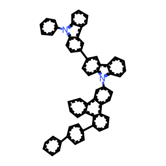 c1ccc(-c2ccc(-c3cccc4c5ccc(-n6c7ccccc7c7cc(-c8ccc9c(c8)c8ccccc8n9-c8ccccc8)ccc76)cc5c5ccccc5c34)cc2)cc1